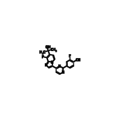 CC(C)(O)c1ccn2c(-c3ccnc(-c4ccc(C#N)c(F)c4)n3)cnc2c1F